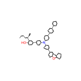 C#C/C(=C\C=C/C)c1cc(-c2ccc(N(c3ccc(-c4ccc(-c5ccccc5)cc4)cc3)c3ccc(-c4ccc5oc6ccccc6c5c4)cc3)cc2)ccc1O